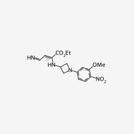 CCOC(=O)/C(=C/C=N)NC1CN(c2ccc([N+](=O)[O-])c(OC)c2)C1